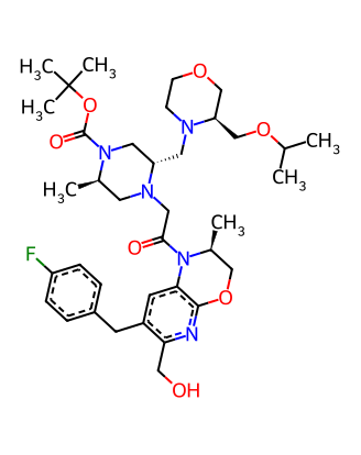 CC(C)OC[C@@H]1COCCN1C[C@H]1CN(C(=O)OC(C)(C)C)[C@H](C)CN1CC(=O)N1c2cc(Cc3ccc(F)cc3)c(CO)nc2OC[C@@H]1C